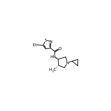 CCc1cc(C(=O)N[C@H]2CN(C3CC3)C[C@@H]2C)ns1